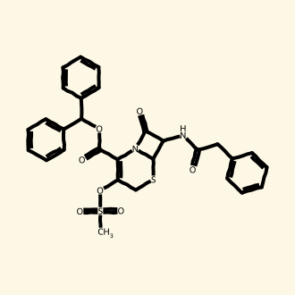 CS(=O)(=O)OC1=C(C(=O)OC(c2ccccc2)c2ccccc2)N2C(=O)C(NC(=O)Cc3ccccc3)C2SC1